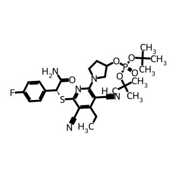 CCc1c(C#N)c(S[C@@H](C(N)=O)c2ccc(F)cc2)nc(N2CCC(OP(=O)(OC(C)(C)C)OC(C)(C)C)C2)c1C#N